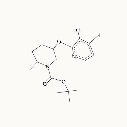 CC1CCC(Oc2nccc(I)c2Cl)CN1C(=O)OC(C)(C)C